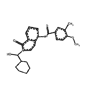 COc1ccc(C(=O)Nc2cccc3c(=O)n(C(O)C4CCCCC4)ccc23)cc1C